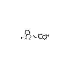 CCOc1ccccc1C(=O)/C=C/c1ccc2[nH]ccc2c1